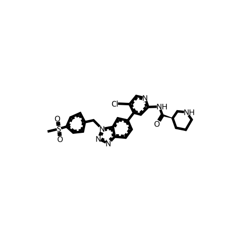 CS(=O)(=O)c1ccc(Cn2nnc3ccc(-c4cc(NC(=O)[C@@H]5CCCNC5)ncc4Cl)cc32)cc1